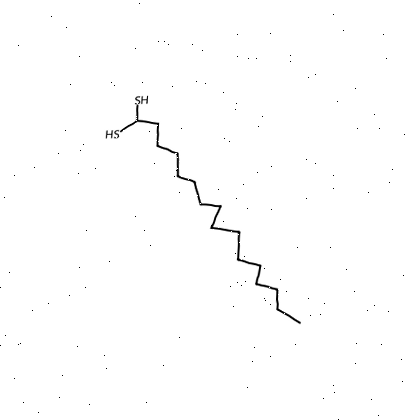 CCCCCCCCCCCCCCCC(S)S